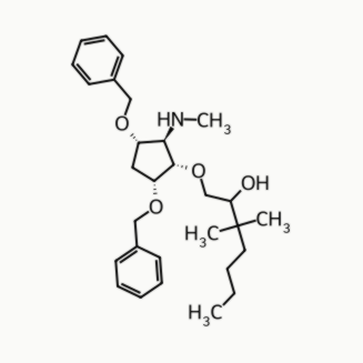 CCCCC(C)(C)C(O)CO[C@H]1[C@H](NC)[C@@H](OCc2ccccc2)C[C@H]1OCc1ccccc1